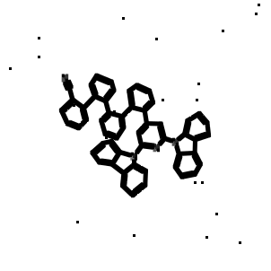 N#Cc1ccccc1-c1ccccc1-c1ccccc1-c1ccccc1-c1cc(-n2c3ccccc3c3ccccc32)nc(-n2c3ccccc3c3ccccc32)c1